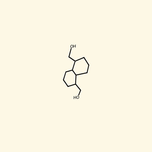 OCC1CCCC2C(CO)CCCC12